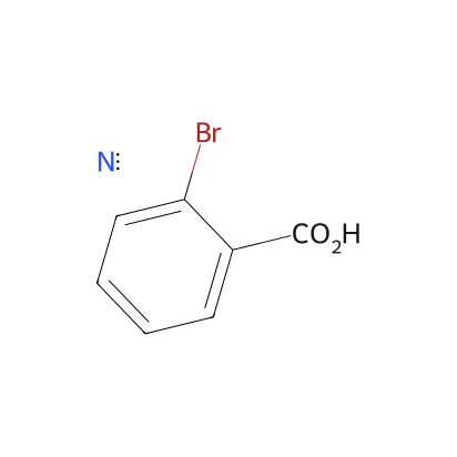 O=C(O)c1ccccc1Br.[N]